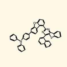 c1ccc(N(c2ccccc2)c2ccc(-c3ccc4c(c3)oc3cccc(-c5nc(-c6cccc7ccccc67)c6sc7ccccc7c6n5)c34)cc2)cc1